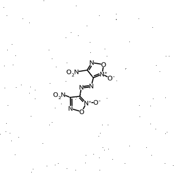 O=[N+]([O-])c1no[n+]([O-])c1N=Nc1c([N+](=O)[O-])no[n+]1[O-]